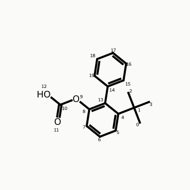 CC(C)(C)c1cccc(OC(=O)O)c1-c1ccccc1